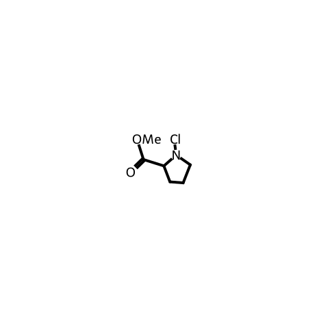 COC(=O)C1CCCN1Cl